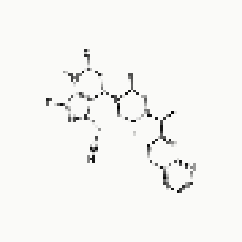 C[C@@H]1CN(c2cc(=O)n(C)c3c(F)nn(CC#N)c23)[C@@H](C)CN1[C@@H](C)c1ccc2nccnc2c1